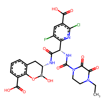 CCN1CCN(C(=O)N[C@H](C(=O)N[C@H]2Cc3cccc(C(=O)O)c3OB2O)c2nc(Cl)c(C(=O)O)cc2F)C(=O)C1=O